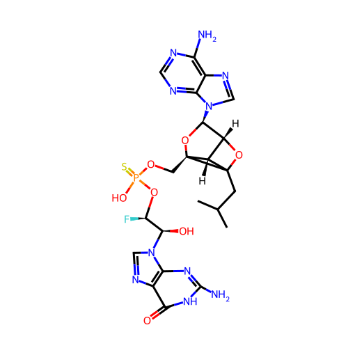 CC(C)CC12O[C@H]3[C@H](n4cnc5c(N)ncnc54)O[C@]1(COP(O)(=S)O[C@H](F)[C@@H](O)n1cnc4c(=O)[nH]c(N)nc41)[C@H]32